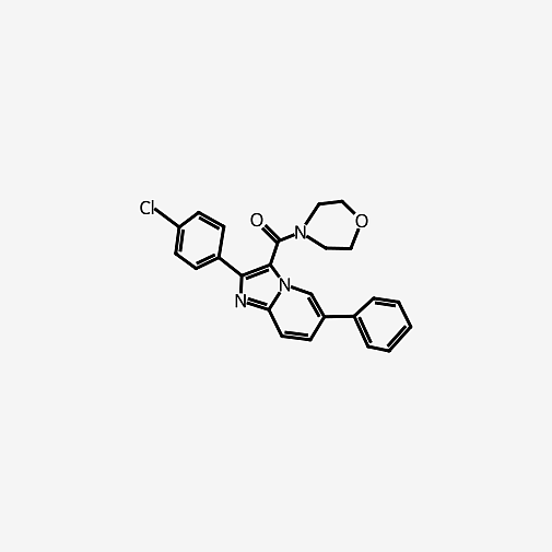 O=C(c1c(-c2ccc(Cl)cc2)nc2ccc(-c3ccccc3)cn12)N1CCOCC1